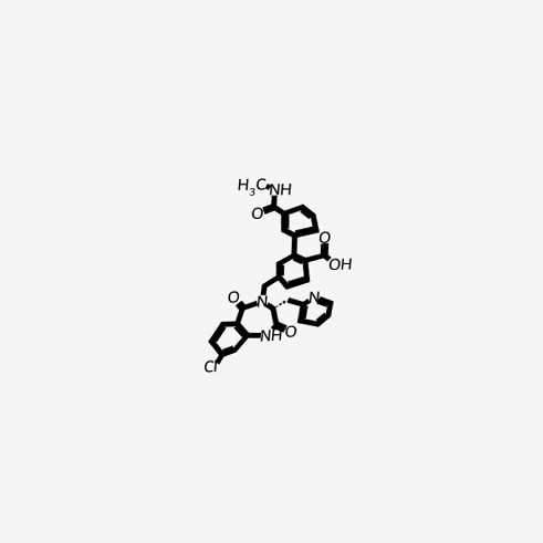 CNC(=O)c1cccc(-c2cc(CN3C(=O)c4ccc(Cl)cc4NC(=O)[C@H]3Cc3ccccn3)ccc2C(=O)O)c1